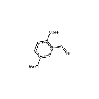 COc1ccc(OC)c(N=[N])c1